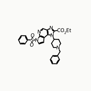 CCOC(=O)c1nc2cnc3c(ccn3S(=O)(=O)c3ccccc3)c2n1C1CCN(Cc2ccccc2)CC1